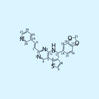 C(=Cc1ncc(-c2cccs2)c(NCc2ccc3c(c2)OCO3)n1)c1cccnc1